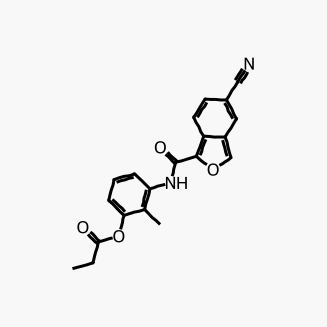 CCC(=O)Oc1cccc(NC(=O)c2occ3cc(C#N)ccc23)c1C